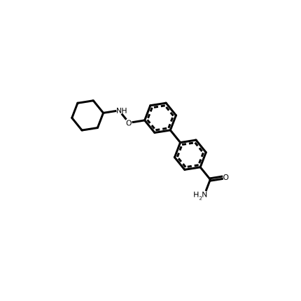 NC(=O)c1ccc(-c2cccc(ONC3CCCCC3)c2)cc1